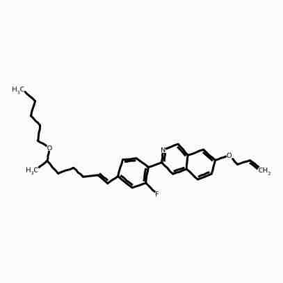 C=CCOc1ccc2cc(-c3ccc(/C=C/CCCC(C)OCCCCC)cc3F)ncc2c1